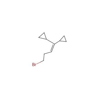 BrCCC=C(C1CC1)C1CC1